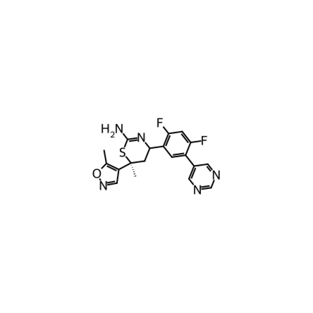 Cc1oncc1[C@]1(C)CC(c2cc(-c3cncnc3)c(F)cc2F)N=C(N)S1